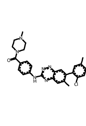 Cc1ccc(Cl)c(-c2cc3nnc(Nc4ccc(C(=O)N5CCN(C)CC5)cc4)nc3cc2C)c1